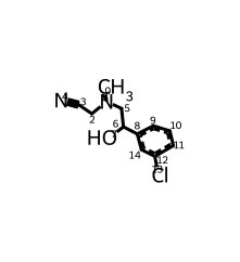 CN(CC#N)CC(O)c1cccc(Cl)c1